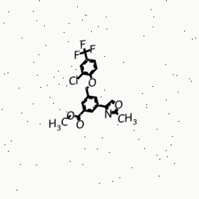 COC(=O)c1cc(COc2ccc(C(F)(F)F)cc2Cl)cc(-c2coc(C)n2)c1